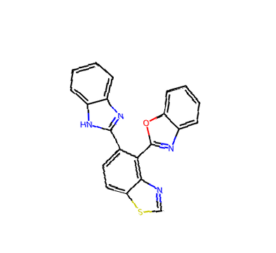 [c]1nc2c(-c3nc4ccccc4o3)c(-c3nc4ccccc4[nH]3)ccc2s1